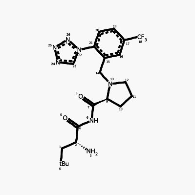 CC(C)(C)C[C@@H](N)C(=O)NC(=O)[C@@H]1CCCN1Cc1cc(C(F)(F)F)ccc1-n1cnnn1